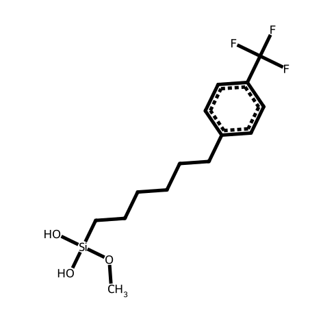 CO[Si](O)(O)CCCCCCc1ccc(C(F)(F)F)cc1